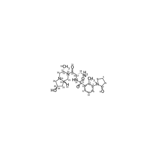 Cc1c(N2CCCC2=O)cccc1S(=O)(=O)N[C@@H](CN)C(=O)N1C[C@@H]2C[C@@H](O)CN2C[C@@H]1C